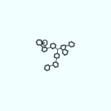 c1ccc(-c2cccc(-c3ccc(C(c4cccc(-c5cccc6c5oc5ccccc56)c4)c4ccc(-c5ccccc5)c5ccccc45)cc3)c2)cc1